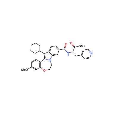 COC(=O)[C@H](Cc1ccncc1)NC(=O)c1ccc2c(C3CCCCC3)c3n(c2c1)CCOc1cc(OC)ccc1-3